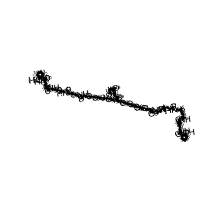 CC(COC(C)(C)CCC(=O)NCCC(C)OCCC(C)(C)NC(=O)C(C)(C)CCCNC(=O)c1ccccc1O)NC(=O)CCOCCOCCOCCOCCN(CCOCCOCCOCCOCCC(=O)NCCOCCC(=O)NCCOCCCNC(=O)C(C)(C)CCNC(=O)c1ccccc1O)C(=O)CCN1C(=O)C=CC1=O